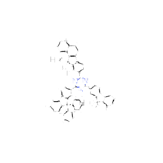 CC1(C)c2ccccc2-c2ccc(-c3nc(-c4ccc5c(c4)C(C)(C)c4c-5ccc5ccccc45)nc(-c4ccc5c(c4)C(c4ccccc4)(c4ccccc4)c4ccccc4-5)n3)cc21